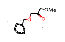 COCC(=O)COCc1ccccc1